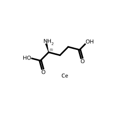 N[C@@H](CCC(=O)O)C(=O)O.[Ce]